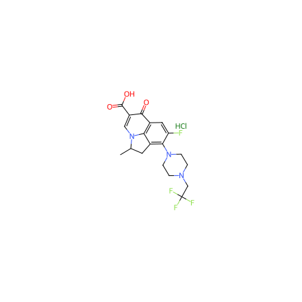 CC1Cc2c(N3CCN(CC(F)(F)F)CC3)c(F)cc3c(=O)c(C(=O)O)cn1c23.Cl